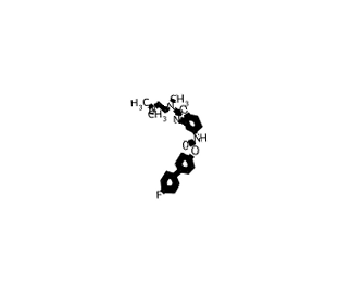 CN(C)CCN(C)c1nc2cc(NC(=O)Oc3ccc(-c4ccc(F)cc4)cc3)ccc2o1